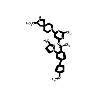 Cc1ccn(-c2cc(-c3ccc(OC(F)(F)F)cc3)ccc2[C@@H](Oc2cc(N3CCC4(CC3)CNC(C(=O)O)C4)nc(C)n2)C(F)(F)F)n1